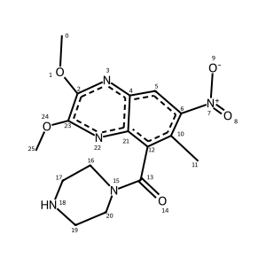 COc1nc2cc([N+](=O)[O-])c(C)c(C(=O)N3CCNCC3)c2nc1OC